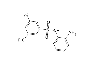 Nc1ccccc1NS(=O)(=O)c1cc(C(F)(F)F)cc(C(F)(F)F)c1